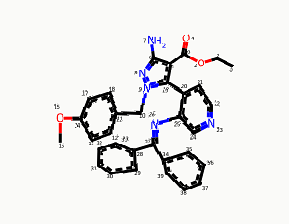 CCOC(=O)c1c(N)nn(Cc2ccc(OC)cc2)c1-c1ccncc1N=C(c1ccccc1)c1ccccc1